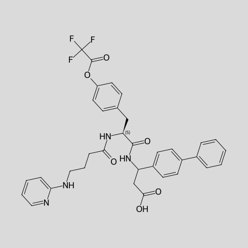 O=C(O)CC(NC(=O)[C@H](Cc1ccc(OC(=O)C(F)(F)F)cc1)NC(=O)CCCNc1ccccn1)c1ccc(-c2ccccc2)cc1